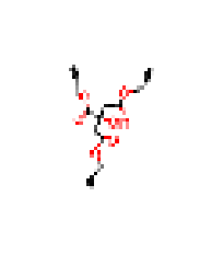 C#CCOC(=O)CC(O)(CC(=O)OCC#C)C(=O)OCC#C